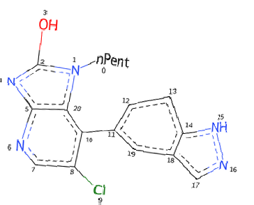 CCCCCn1c(O)nc2ncc(Cl)c(-c3ccc4[nH]ncc4c3)c21